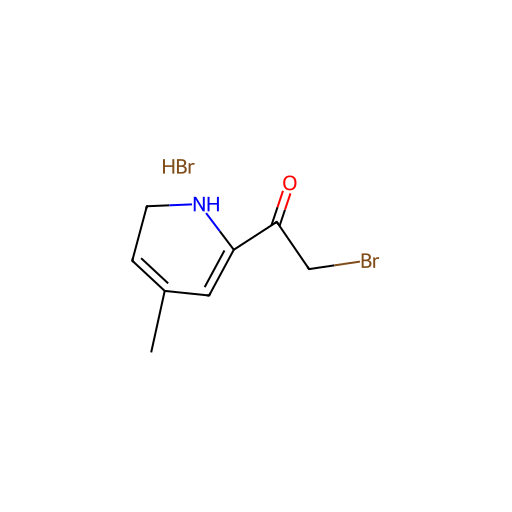 Br.CC1=CCNC(C(=O)CBr)=C1